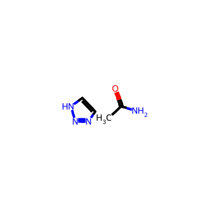 CC(N)=O.c1c[nH]nn1